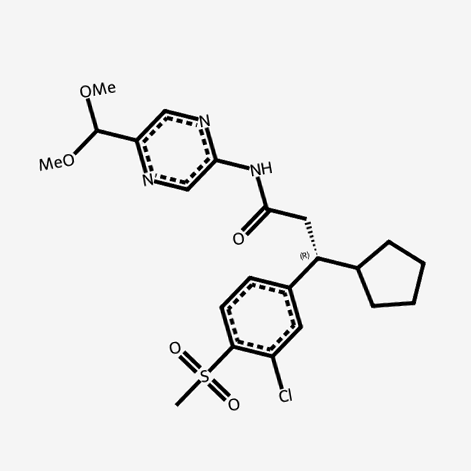 COC(OC)c1cnc(NC(=O)C[C@@H](c2ccc(S(C)(=O)=O)c(Cl)c2)C2CCCC2)cn1